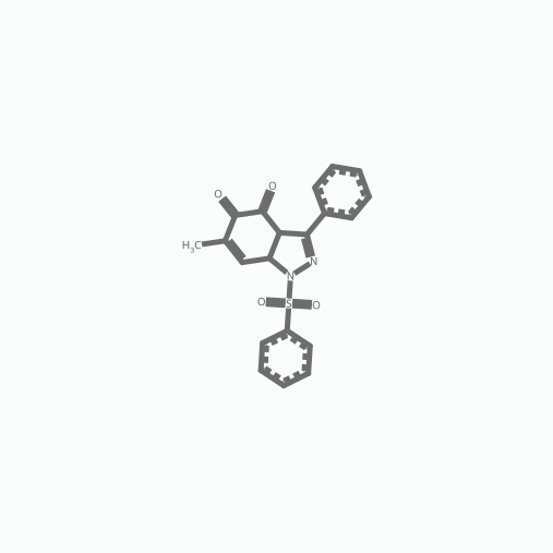 CC1=CC2C(C(=O)C1=O)C(c1ccccc1)=NN2S(=O)(=O)c1ccccc1